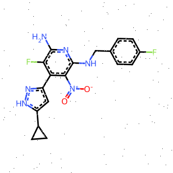 Nc1nc(NCc2ccc(F)cc2)c([N+](=O)[O-])c(-c2cc(C3CC3)[nH]n2)c1F